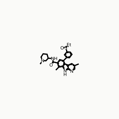 CC[S+]([O-])c1cccc(-c2cc(C(=O)NC3CCCN(C)C3)c(C)c3[nH]c4ncc(C)cc4c23)c1